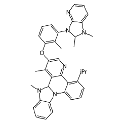 Cc1c(Oc2cnc3c(c2C)C2N(C)c4ccccc4N2c2cccc(C(C)C)c2-3)cccc1N1c2ncccc2N(C)C1C